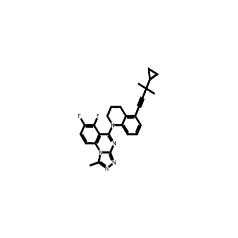 Cc1nnc2nc(N3CCCc4c(C#CC(C)(C)C5CC5)cccc43)c3c(F)c(F)ccc3n12